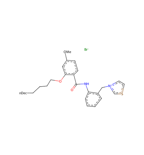 CCCCCCCCCCCCCCOc1cc(OC)ccc1C(=O)Nc1ccccc1C[n+]1ccsc1.[Br-]